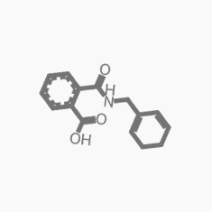 O=C(O)c1ccccc1C(=O)NCC1=CCCC=C1